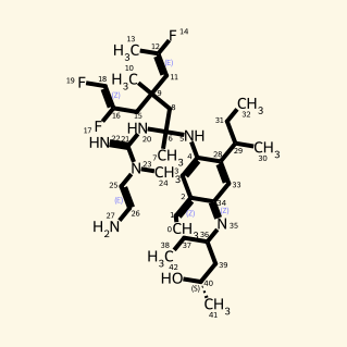 C/C=C1/C=C(NC(C)(CC(C)(/C=C(\C)F)C/C(F)=C/F)NC(=N)N(C)/C=C/N)C(C(C)CC)=C/C1=N/C(CC)C[C@H](C)O